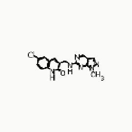 Cn1ncc2cnc(NCc3cc4cc(Cl)ccc4[nH]c3=O)nc21